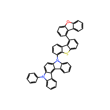 c1ccc(-n2c3ccccc3c3c4c5ccccc5n(-c5cccc6c5sc5cccc(-c7cccc8oc9ccccc9c78)c56)c4ccc32)cc1